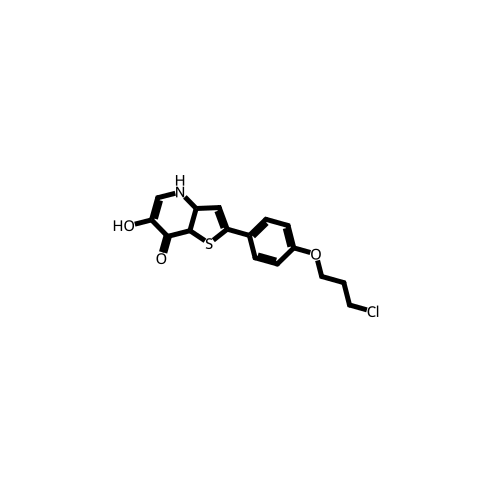 O=C1C(O)=CNC2C=C(c3ccc(OCCCCl)cc3)SC12